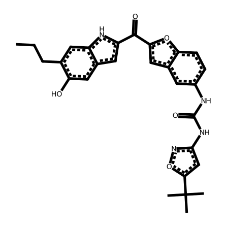 CCCc1cc2[nH]c(C(=O)c3cc4cc(NC(=O)Nc5cc(C(C)(C)C)on5)ccc4o3)cc2cc1O